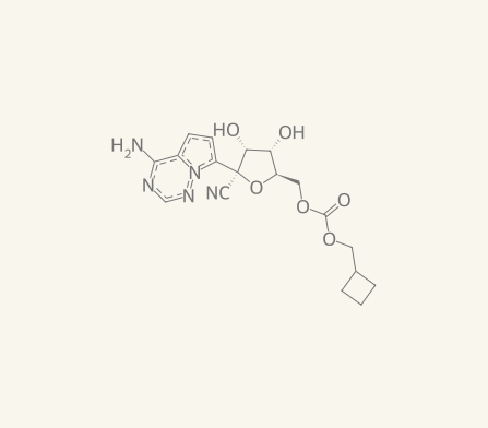 N#C[C@@]1(c2ccc3c(N)ncnn23)O[C@H](COC(=O)OCC2CCC2)[C@@H](O)[C@H]1O